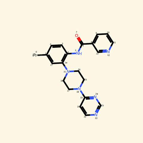 CC(C)c1ccc(NC(=O)c2cccnc2)c(N2CCN(c3ccncn3)CC2)c1